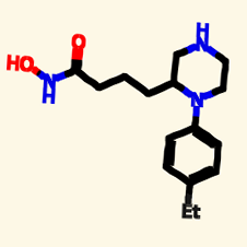 CCc1ccc(N2CCNCC2CCCC(=O)NO)cc1